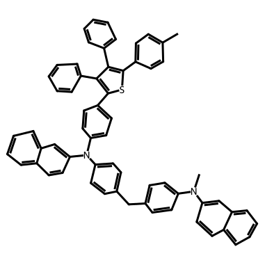 Cc1ccc(-c2sc(-c3ccc(N(c4ccc(Cc5ccc(N(C)c6ccc7ccccc7c6)cc5)cc4)c4ccc5ccccc5c4)cc3)c(-c3ccccc3)c2-c2ccccc2)cc1